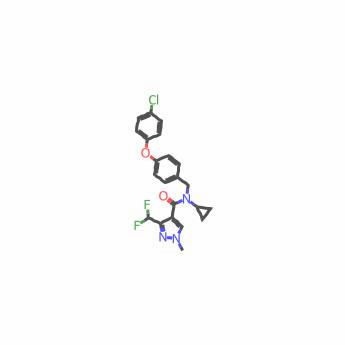 Cn1cc(C(=O)N(Cc2ccc(Oc3ccc(Cl)cc3)cc2)C2CC2)c(C(F)F)n1